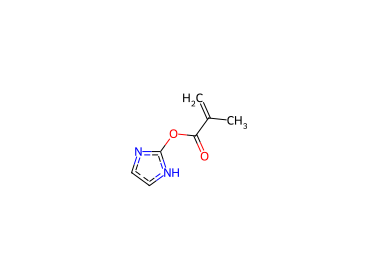 C=C(C)C(=O)Oc1ncc[nH]1